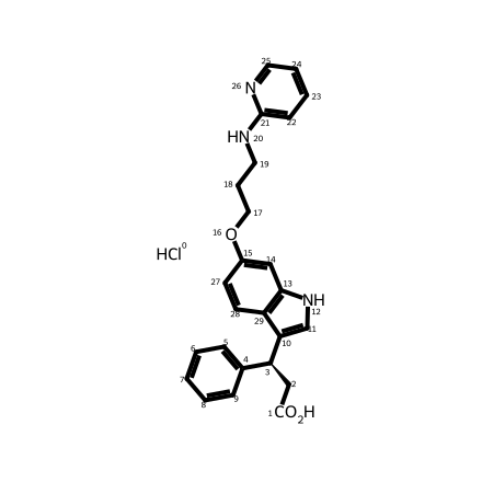 Cl.O=C(O)C[C@@H](c1ccccc1)c1c[nH]c2cc(OCCCNc3ccccn3)ccc12